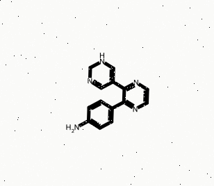 Nc1ccc(-c2nccnc2C2=CNCN=C2)cc1